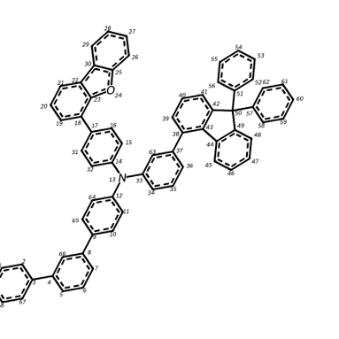 c1ccc(-c2cccc(-c3ccc(N(c4ccc(-c5cccc6c5oc5ccccc56)cc4)c4cccc(-c5cccc6c5-c5ccccc5C6(c5ccccc5)c5ccccc5)c4)cc3)c2)cc1